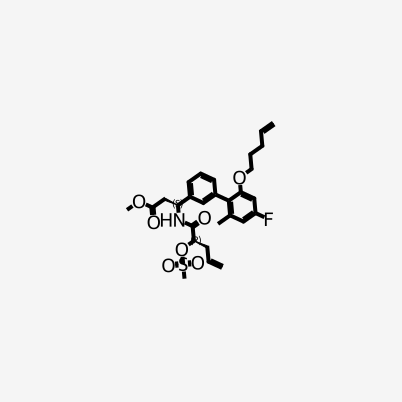 C=CCCCOc1cc(F)cc(C)c1-c1cccc([C@H](CC(=O)OC)NC(=O)[C@@H](CC=C)OS(C)(=O)=O)c1